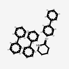 O=C1CCCCN1.c1ccc(-c2ccccc2)cc1.c1ccc(-c2ccccc2)cc1.c1ccc(-c2ccccc2)cc1